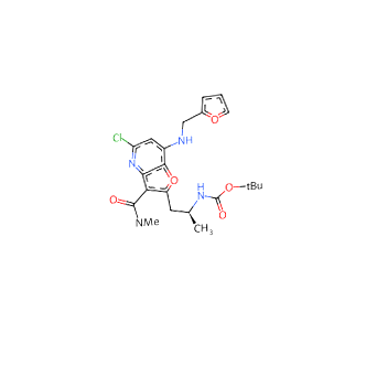 CNC(=O)c1c(C[C@H](C)NC(=O)OC(C)(C)C)oc2c(NCc3ccco3)cc(Cl)nc12